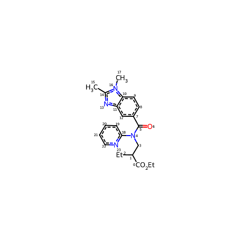 CCOC(=O)C(CC)CN(C(=O)c1ccc2c(c1)nc(C)n2C)c1ccccn1